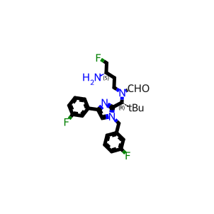 CC(C)(C)[C@H](c1nc(-c2cccc(F)c2)cn1Cc1cccc(F)c1)N(C=O)CC[C@H](N)CF